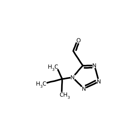 CC(C)(C)n1nnnc1C=O